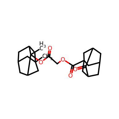 CC12CC3CC(C1)C(C)(OC(=O)COC(=O)C14CC5CC(C1)C(=O)C(C5)C4)C(C3)C2